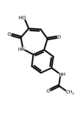 CC(=O)Nc1ccc2[nH]c(=O)c(O)cc(=O)c2c1